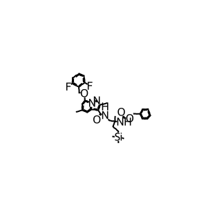 Cc1cc(OCc2c(F)cccc2F)n2nc(C)c(C(=O)NCC(C)(CC[Si](C)(C)C)NC(=O)OCc3ccccc3)c2c1